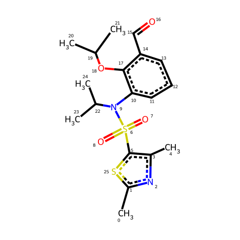 Cc1nc(C)c(S(=O)(=O)N(c2cccc(C=O)c2OC(C)C)C(C)C)s1